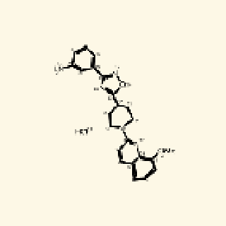 COc1cccc2ccc(N3CCC(c4nc(-c5cccc(N)c5)no4)CC3)nc12.Cl